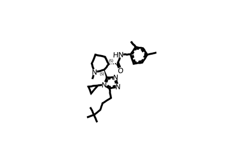 Cc1ccc(NC(=O)[C@H]2CCCN(C)[C@@H]2c2nnc(CCCC(C)(C)C)n2C2CC2)c(C)c1